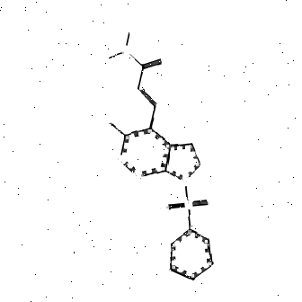 CN(C)C(=O)C=Cc1c(Cl)nnc2c1ccn2S(=O)(=O)c1ccccc1